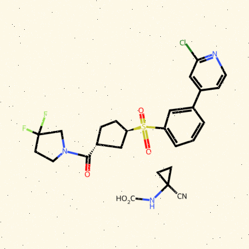 N#CC1(NC(=O)O)CC1.O=C([C@@H]1CC[C@@H](S(=O)(=O)c2cccc(-c3ccnc(Cl)c3)c2)C1)N1CCC(F)(F)C1